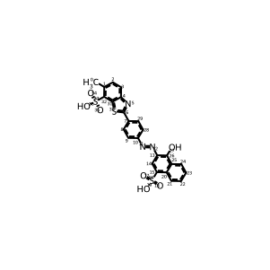 Cc1ccc2nc(-c3ccc(/N=N/c4cc(S(=O)(=O)O)c5ccccc5c4O)cc3)sc2c1S(=O)(=O)O